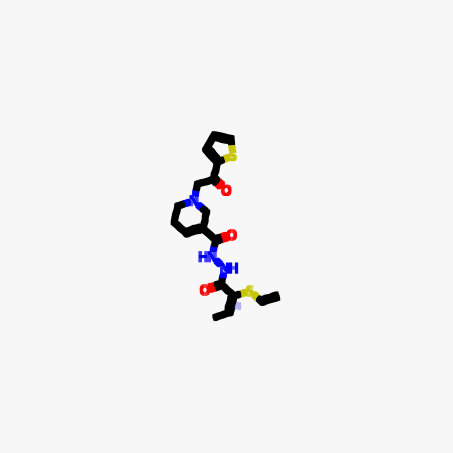 C=CS/C(=C/C)C(=O)NNC(=O)C1=CCCN(CC(=O)c2cccs2)C1